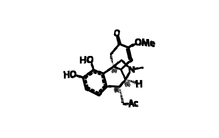 COC1=CC2[C@@H]3[C@H](CC(C)=O)c4ccc(O)c(O)c4[C@@]2(CC1=O)CN3C